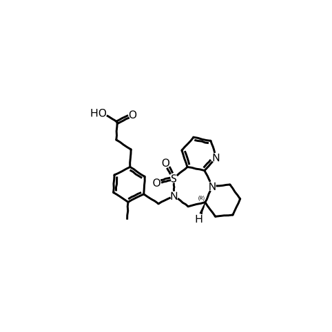 Cc1ccc(CCC(=O)O)cc1CN1C[C@H]2CCCCN2c2ncccc2S1(=O)=O